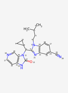 CC(C)CCn1c(C(C2CC2)n2c(=O)[nH]c3ccncc32)nc2cc(C#N)ccc21